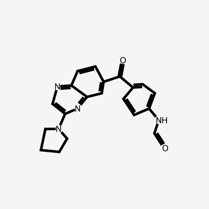 O=CNc1ccc(C(=O)c2ccc3ncc(N4CCCC4)nc3c2)cc1